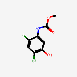 COC(=O)Nc1cc(O)c(Cl)cc1F